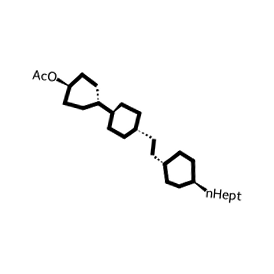 CCCCCCC[C@H]1CC[C@H](CC[C@H]2CC[C@H]([C@H]3CC[C@H](OC(C)=O)CC3)CC2)CC1